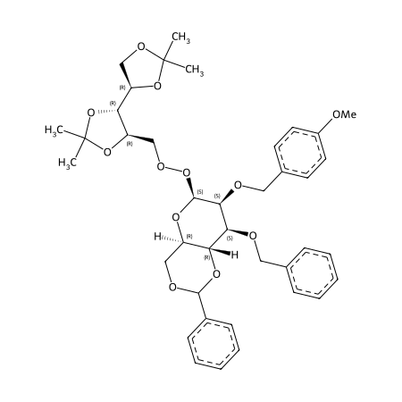 COc1ccc(CO[C@@H]2[C@H](OOC[C@H]3OC(C)(C)O[C@@H]3[C@H]3COC(C)(C)O3)O[C@@H]3COC(c4ccccc4)O[C@H]3[C@@H]2OCc2ccccc2)cc1